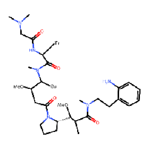 CCC(C)C(C(CC(=O)N1CCC[C@H]1C(OC)C(C)C(=O)N(C)CCc1ccccc1N)OC)N(C)C(=O)C(NC(=O)CN(C)C)C(C)C